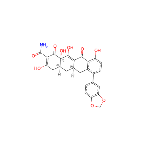 NC(=O)C1=C(O)C[C@@H]2C[C@@H]3Cc4c(-c5ccc6c(c5)OCO6)ccc(O)c4C(=O)C3=C(O)[C@]2(O)C1=O